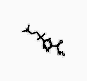 CN(C)CCC(C)(C)c1nnc(C(N)=O)s1